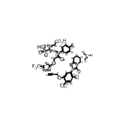 C#CCOc1cc(-n2nc3n(c2=O)CCCC3)c(Cl)cc1Cl.CC(C)N(C(=O)COc1nnc(C(F)(F)F)s1)c1ccc(F)cc1.C[S+](C)C.O=C(O)CNCP(=O)([O-])O